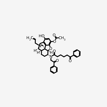 C=CCN1CC[C@]23c4c5c(O)cc(OC(C)=O)c4O[C@H]2[C@H](N(CC(=O)c2ccccc2)C(=O)CCCCC(=O)c2ccccc2)CC[C@H]3[C@H]1C5